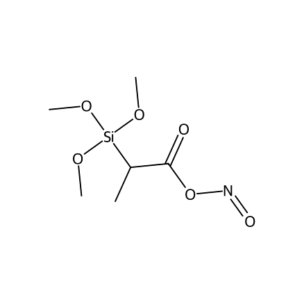 CO[Si](OC)(OC)C(C)C(=O)ON=O